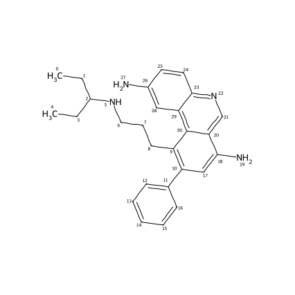 CCC(CC)NCCCc1c(-c2ccccc2)cc(N)c2cnc3ccc(N)cc3c12